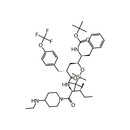 CCNC1CCN(C(=O)[C@@H](NC(=O)[C@H](Cc2ccc(OC(F)(F)F)cc2)C[C@H](O[Si](C)(C)C(C)(C)C)[C@H](Cc2ccccc2)NC(=O)OC(C)(C)C)[C@@H](C)CC)CC1